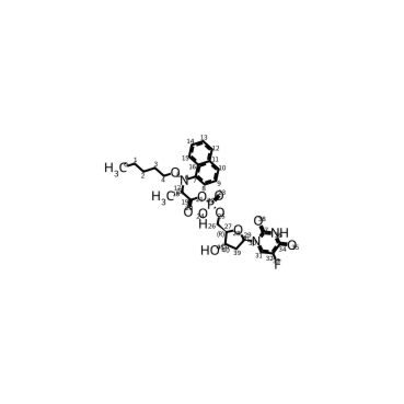 CCCCCON(c1cccc2ccccc12)[C@@H](C)C(=O)OP(=O)(O)OC[C@H]1O[C@@H](n2cc(F)c(=O)[nH]c2=O)C[C@@H]1O